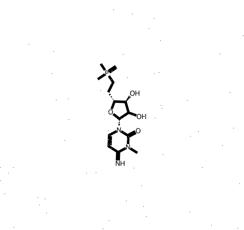 C=P(C)(C)CC[C@H]1O[C@@H](n2ccc(=N)n(C)c2=O)C(O)[C@@H]1O